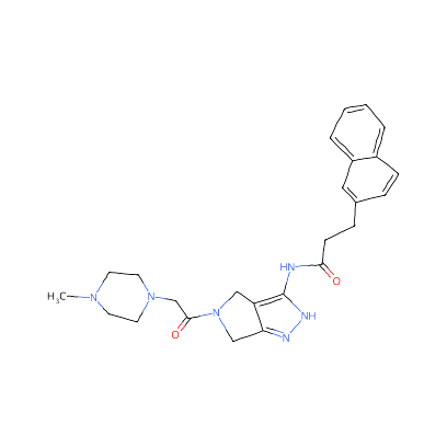 CN1CCN(CC(=O)N2Cc3n[nH]c(NC(=O)CCc4ccc5ccccc5c4)c3C2)CC1